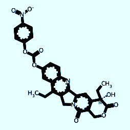 CCc1c2c(nc3ccc(OC(=O)Oc4ccc([N+](=O)[O-])cc4)cc13)-c1cc3c(c(=O)n1C2)COC(=O)[C@]3(O)CC